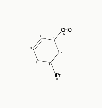 CC(C)C1CC=CC(C=O)C1